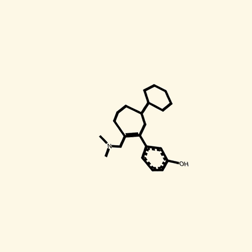 CN(C)CC1=C(c2cccc(O)c2)CC(C2CCCCC2)CCC1